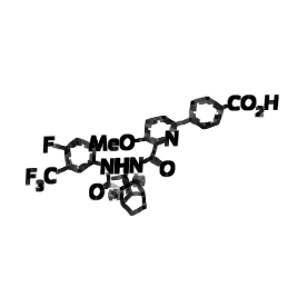 COc1ccc(-c2ccc(C(=O)O)cc2)nc1C(=O)N[C@@H]1C2CCC(C2=C(C)C)[C@@H]1C(=O)Nc1ccc(F)c(C(F)(F)F)c1